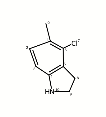 Cc1ccc2c(c1Cl)CCN2